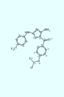 Nc1nc(Nc2ccc(C(F)(F)F)cc2)sc1C(=O)c1ccc(OC(F)F)cc1